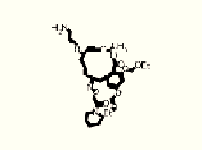 CCOCOc1cc2c(c(OCOCC)c1)C(=O)O[C@H](C)C/C=C/C(OCCCN)C/C=C/C(=N/OCC(=O)N1CCCCC1)C2